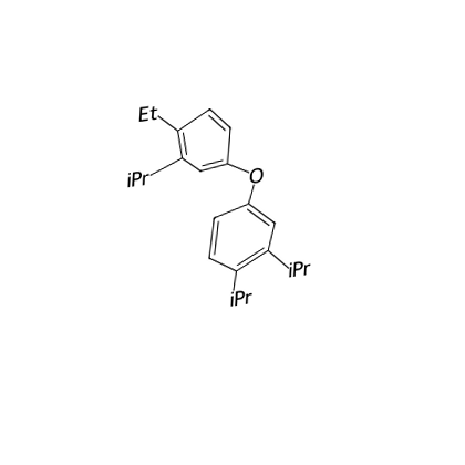 CCc1ccc(Oc2ccc(C(C)C)c(C(C)C)c2)cc1C(C)C